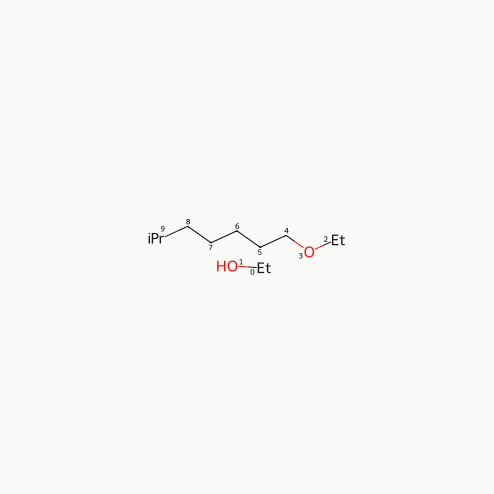 CCO.CCOCCCCCC(C)C